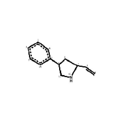 C=CC1CC(c2ccccc2)CN1